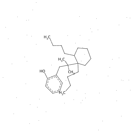 CCCCC1CCCCC1(CCCC)C(C)(C)Cc1ccccc1O